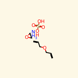 C1CO1.C=CCOCC=C.N.O=S(=O)(O)O